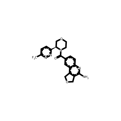 Nc1nc2ccc(C(=O)N3CCOC[C@@H]3c3ccc(C(F)(F)F)nn3)cc2c2c1COC2